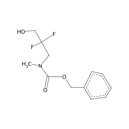 CN(CC(F)(F)CO)C(=O)OCc1ccccc1